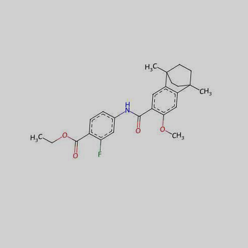 CCOC(=O)c1ccc(NC(=O)c2cc3c(cc2OC)C2(C)CCC3(C)CC2)cc1F